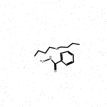 CCC[CH2][Sn][CH2]CCC.NNC(=O)c1ccccc1